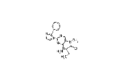 CCC1C(=O)N(C)c2cnc(-n3ccnc3-c3ccccc3)nc2N1N